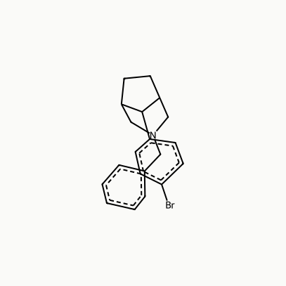 Brc1ccc(C2C3CCC2CN(Cc2ccccc2)C3)cc1